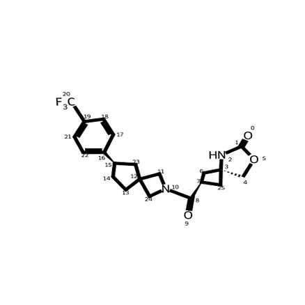 O=C1N[C@]2(CO1)C[C@H](C(=O)N1CC3(CC[C@@H](c4ccc(C(F)(F)F)cc4)C3)C1)C2